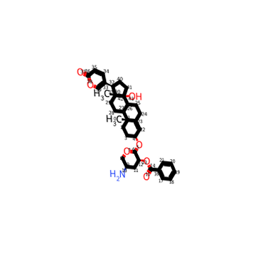 C[C@]12CC[C@H](OC3OC[C@H](N)C[C@@H]3OC(=O)c3ccccc3)C=C1CCC1C2CC[C@]2(C)[C@@H](c3ccc(=O)oc3)CC[C@]12O